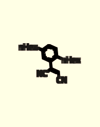 CCCCCCc1ccc(CCCCCC)c(C(C#N)=CC#N)c1